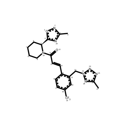 Cc1noc([C@@H]2CCCCN2C(=O)/C=C/c2ccc(C(F)(F)F)cc2Cn2nnc(C)n2)n1